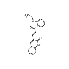 CCOc1ccccc1C(=O)/C=C/c1cc2ccccc2[nH]c1=O